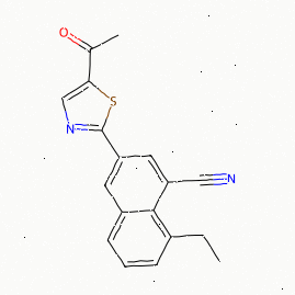 CCc1cccc2cc(-c3ncc(C(C)=O)s3)cc(C#N)c12